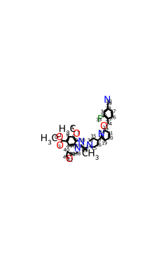 COC(=O)c1cc(OC)c2nc([C@@H](C)N3CCC(c4cccc(OCc5ccc(C#N)cc5F)n4)CC3)n(C[C@@H]3CCO3)c2c1